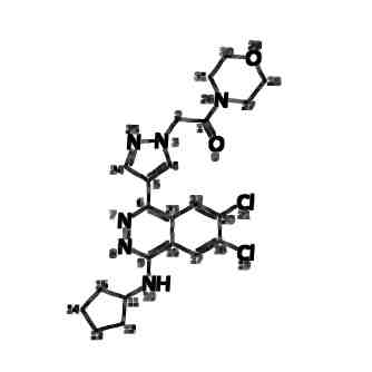 O=C(Cn1cc(-c2nnc(NC3CCCC3)c3cc(Cl)c(Cl)cc23)cn1)N1CCOCC1